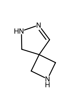 C1=NNCC12CNC2